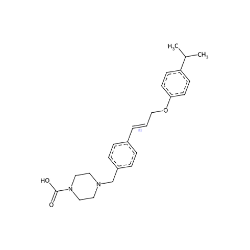 CC(C)c1ccc(OC/C=C/c2ccc(CN3CCN(C(=O)O)CC3)cc2)cc1